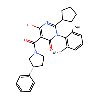 COc1cccc(OC)c1-n1c(C2CCCC2)nc(O)c(C(=O)N2CC[C@H](c3ccccc3)C2)c1=O